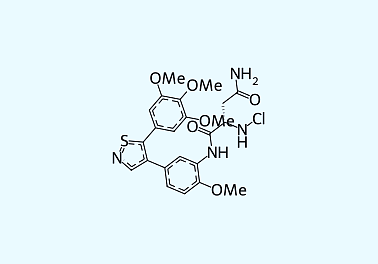 COc1ccc(-c2cnsc2-c2cc(OC)c(OC)c(OC)c2)cc1NC(=O)[C@H](CC(N)=O)NCl